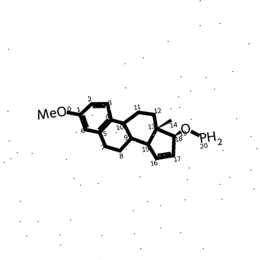 COc1ccc2c(c1)CCC1C2CC[C@@]2(C)C1C=C[C@@H]2OP